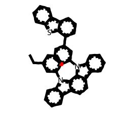 CCc1cccc(-n2c3ccccc3c3ccc4c5ccccc5n(-c5cccc(-c6cccc7c6sc6ccccc67)c5)c4c32)c1